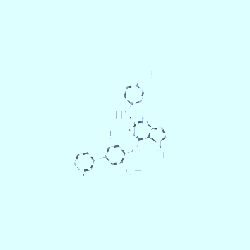 Cc1ccc(Nc2nc(Oc3c(C)cc(-c4cccnc4)cc3C)c3c(ccn3C)n2)cc1